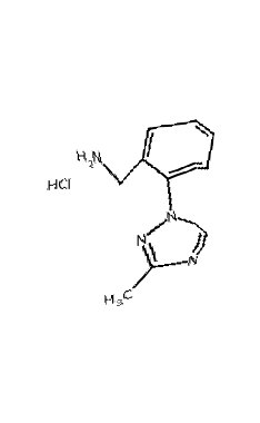 Cc1ncn(-c2ccccc2CN)n1.Cl